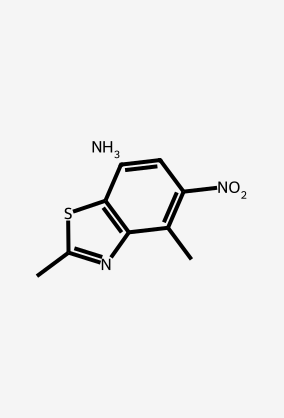 Cc1nc2c(C)c([N+](=O)[O-])ccc2s1.N